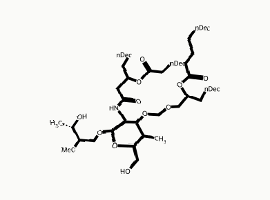 CCCCCCCCCCCCCC(=O)OC(CCCCCCCCCCC)COCOC1C(C)C(CO)OC(OCC(OC)[C@H](C)O)C1NC(=O)CC(CCCCCCCCCCC)OC(=O)CCCCCCCCCCC